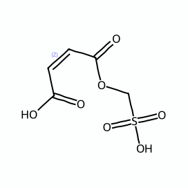 O=C(O)/C=C\C(=O)OCS(=O)(=O)O